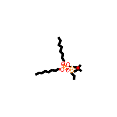 CCCCCCCCOP(=O)(OCCCCCCCC)OP(C)(CCC)(CCC)CCC